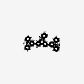 O=P(c1ccccc1)(c1ccccc1)c1ccc(-c2ccc3c4ccc(-c5ccc(P(=O)(c6ccccc6)c6ccccc6)cc5)cc4n4c5ccccc5nc4c3c2)cc1